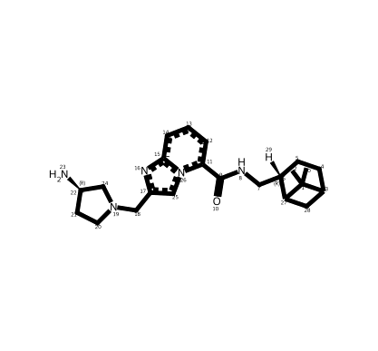 CC1(C)C2CC[C@@H](CNC(=O)c3cccc4nc(CN5CC[C@@H](N)C5)cn34)C1C2